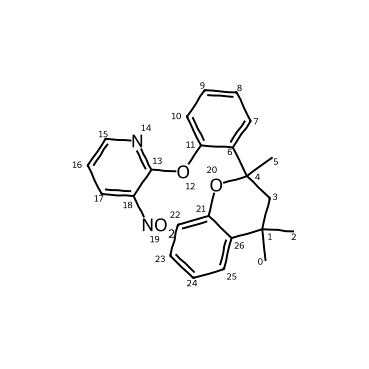 CC1(C)CC(C)(c2ccccc2Oc2ncccc2[N+](=O)[O-])Oc2ccccc21